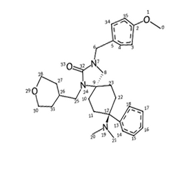 COc1ccc(CN2C[C@]3(CC[C@](c4ccccc4)(N(C)C)CC3)N(CC3CCOCC3)C2=O)cc1